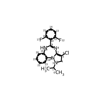 CC(C)N1CC(Cl)=C2N=C(c3c(F)cccc3F)Nc3ccccc3N21